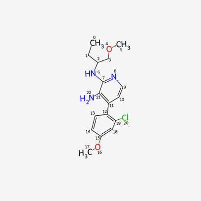 CCC(COC)Nc1nccc(-c2ccc(OC)cc2Cl)c1N